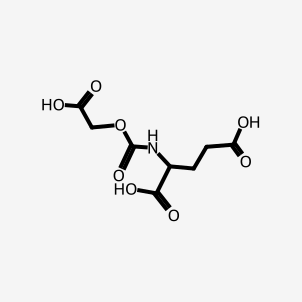 O=C(O)CCC(NC(=O)OCC(=O)O)C(=O)O